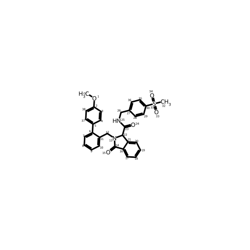 COc1ccc(-c2ccccc2CN2C(=O)c3ccccc3C2C(=O)NCc2ccc(S(C)(=O)=O)cc2)cc1